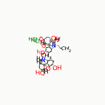 C=CCN1CC[C@]23c4c5ccc(O)c4O[C@H]2C(=O)CC[C@@]3(O)[C@H]1C5.CN1CC[C@]23c4c5ccc(O)c4O[C@H]2[C@@H](O)C=C[C@H]3[C@H]1C5.Cl.Cl